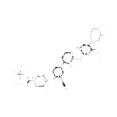 COc1nc(Nc2nccc(-c3ccc(O[C@H]4CCN(C(=O)OC(C)(C)C)C[C@H]4F)c(C#N)c3)n2)ccc1N1CCN(C)CC1